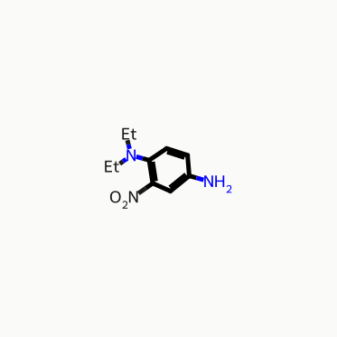 CCN(CC)c1ccc(N)cc1[N+](=O)[O-]